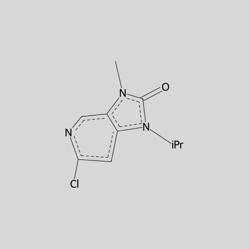 CC(C)n1c(=O)n(C)c2cnc(Cl)cc21